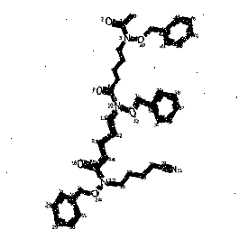 CC(=O)N(CCCCC(=O)N(CCCCC(=O)N(CCCCC#N)OCc1ccccc1)OCc1ccccc1)OCc1ccccc1